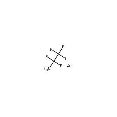 FC(F)(F)C(F)(F)C(F)(F)I.[Zn]